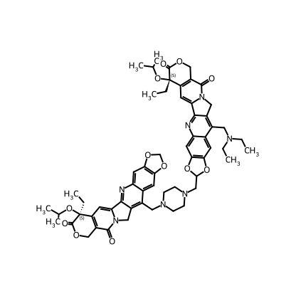 CCN(CC)Cc1c2c(nc3cc4c(cc13)OC(CN1CCN(Cc3c5c(nc6cc7c(cc36)OCO7)-c3cc6c(c(=O)n3C5)COC(=O)[C@@]6(CC)OC(C)C)CC1)O4)-c1cc3c(c(=O)n1C2)COC(=O)[C@@]3(CC)OC(C)C